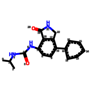 CC(C)NC(=O)Nc1ccc(-c2ccccc2)c2c1C(=O)NC2